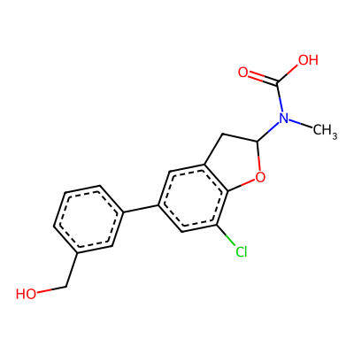 CN(C(=O)O)C1Cc2cc(-c3cccc(CO)c3)cc(Cl)c2O1